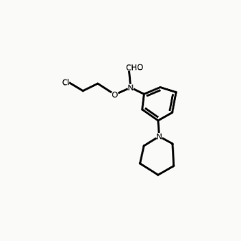 O=CN(OCCCl)c1cccc(N2CCCCC2)c1